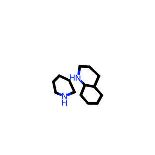 C1CCC2NCCCC2C1.C1CCNCC1